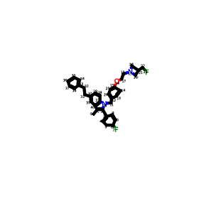 Cc1c(C2=CCC(F)C=C2)n(Cc2ccc(OCCN3CC(CF)C3)cc2)c2ccc(CCc3ccccc3)cc12